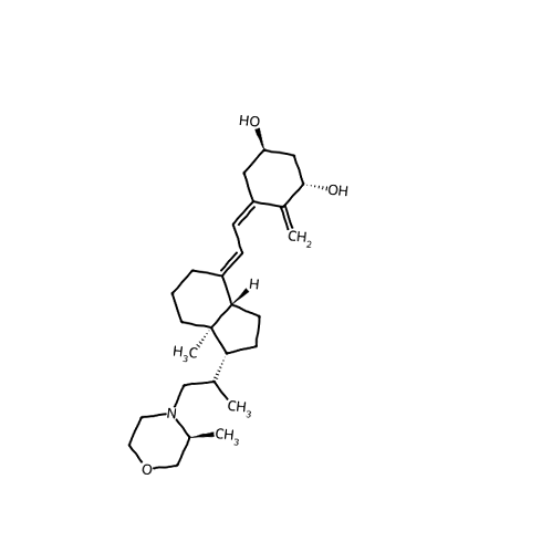 C=C1/C(=C\C=C2/CCC[C@]3(C)[C@@H](C(C)CN4CCOC[C@@H]4C)CC[C@@H]23)C[C@@H](O)C[C@@H]1O